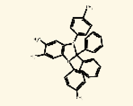 Cc1ccc(N2c3cc(C)c(C)cc3N(c3ccc(C)cc3)C2(c2ccccc2)c2ccccc2)cc1